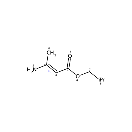 C/C(N)=C\C(=O)OCC(C)C